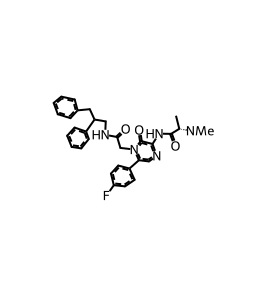 CN[C@@H](C)C(=O)Nc1ncc(-c2ccc(F)cc2)n(CC(=O)NCC(Cc2ccccc2)c2ccccc2)c1=O